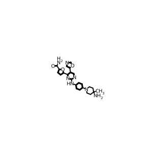 CC1(N)CCN(c2ccc(Nc3ncc(-c4cnco4)c(-c4ccc(C(N)=O)o4)n3)cc2)CC1